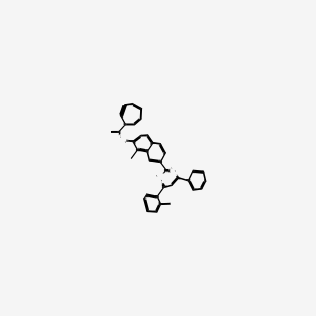 Cc1ccccc1-c1cc(-c2ccccc2)nc(-c2ccc3ccc(NC(C)C4C#CC=CC=C4)c(C)c3c2)n1